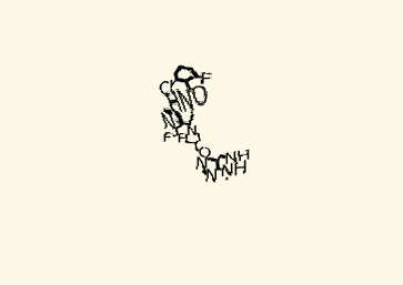 CNc1ncnc(OCC2CCN(C(CNC(=O)c3c(F)cccc3Cl)c3scnc3C(F)F)CC2)c1C=N